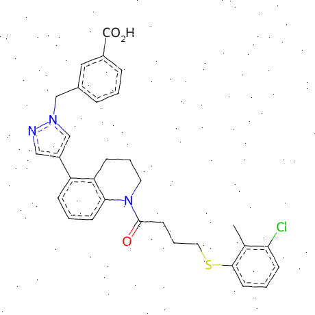 Cc1c(Cl)cccc1SCCCC(=O)N1CCCc2c(-c3cnn(Cc4cccc(C(=O)O)c4)c3)cccc21